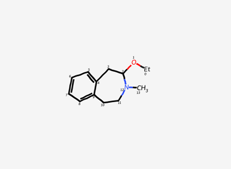 CCOC1Cc2ccccc2CCN1C